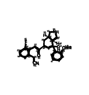 COc1ccccc1[C@]1(O)C[C@@H](C(=O)Cc2c(F)cccc2CC#N)C[C@H]2CNC[C@H]21